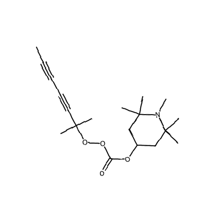 CC#CC#CC(C)(C)OOC(=O)OC1CC(C)(C)N(C)C(C)(C)C1